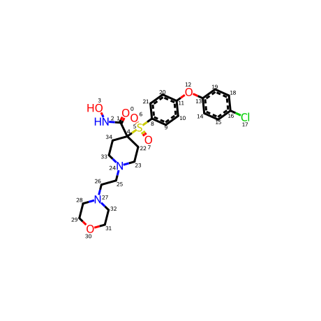 O=C(NO)C1(S(=O)(=O)c2ccc(Oc3ccc(Cl)cc3)cc2)CCN(CCN2CCOCC2)CC1